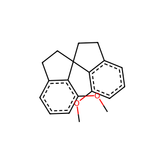 COc1cccc2c1C1(CC2)CCc2cccc(OC)c21